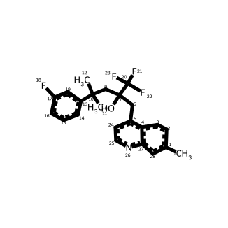 Cc1ccc2c(CC(O)(CC(C)(C)c3cccc(F)c3)C(F)(F)F)ccnc2c1